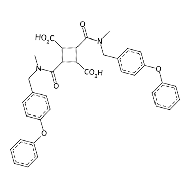 CN(Cc1ccc(Oc2ccccc2)cc1)C(=O)C1C(C(=O)O)C(C(=O)N(C)Cc2ccc(Oc3ccccc3)cc2)C1C(=O)O